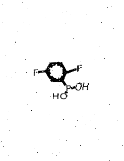 OP(O)c1cc(F)ccc1F